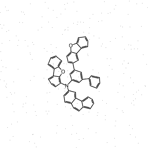 c1ccc(-c2cc(-c3ccc4oc5ccccc5c4c3)cc(N(c3ccc4ccc5ccccc5c4c3)c3cccc4c3oc3ccccc34)c2)cc1